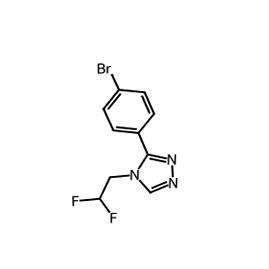 FC(F)Cn1cnnc1-c1ccc(Br)cc1